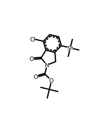 CC(C)(C)OC(=O)N1Cc2[c]([Sn]([CH3])([CH3])[CH3])ccc(Cl)c2C1=O